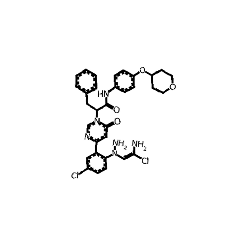 N/C(Cl)=C\N(N)c1ccc(Cl)cc1-c1cc(=O)n(C(Cc2ccccc2)C(=O)Nc2ccc(OC3CCOCC3)cc2)cn1